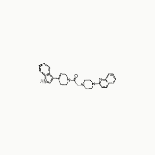 O=C(CN1CCN(c2ccc3ccccc3n2)CC1)N1CC=C(c2c[nH]c3ccccc23)CC1